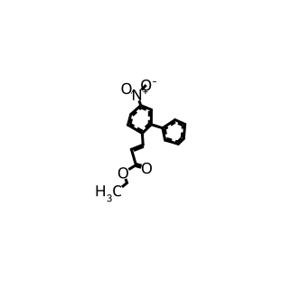 CCOC(=O)C=Cc1ccc([N+](=O)[O-])cc1-c1ccccc1